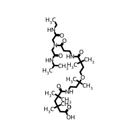 CCNC(=O)CN(CC(=O)NC(C)C)C(=O)CCNC(=O)C(C)(C)CCOC(C)(C)CCNC(=O)C(C)(C)CC(C)(C)CC(=O)O